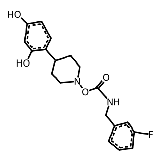 O=C(NCc1cccc(F)c1)ON1CCC(c2ccc(O)cc2O)CC1